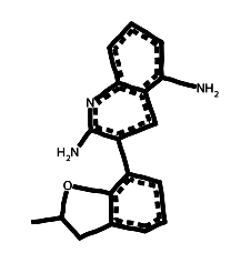 CC1Cc2cccc(-c3cc4c(N)cccc4nc3N)c2O1